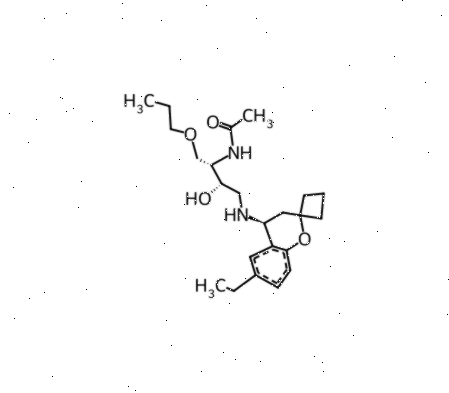 CCCOC[C@H](NC(C)=O)[C@@H](O)CN[C@H]1CC2(CCC2)Oc2ccc(CC)cc21